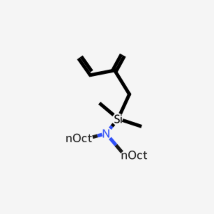 C=CC(=C)C[Si](C)(C)N(CCCCCCCC)CCCCCCCC